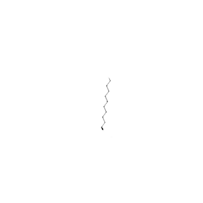 C=CCCCCCCCCCO.Cl